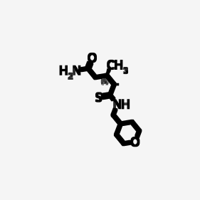 C[C@@H]([CH]C(=S)NCC1CCOCC1)CC(N)=O